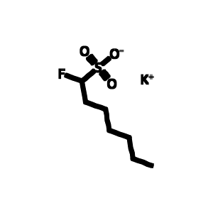 CCCCCCC(F)S(=O)(=O)[O-].[K+]